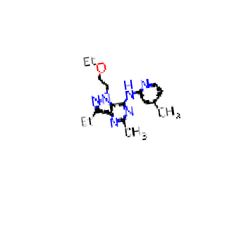 CCOCCn1nc(CC)c2nc(C)nc(Nc3cc(C)ccn3)c21